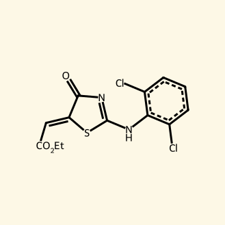 CCOC(=O)/C=C1\SC(Nc2c(Cl)cccc2Cl)=NC1=O